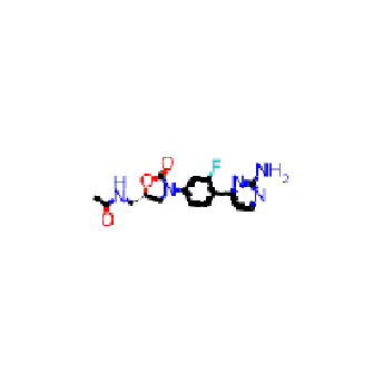 CC(=O)NC[C@H]1CN(c2ccc(-c3ccnc(N)n3)c(F)c2)C(=O)O1